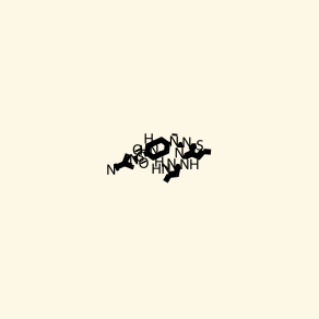 Cc1cc(Nc2nc(N(C)[C@@H]3C[C@H]4CC(S(=O)(=O)N5CC(C#N)C5)C[C@@H](C3)N4)nc3sc(C)cc23)n[nH]1